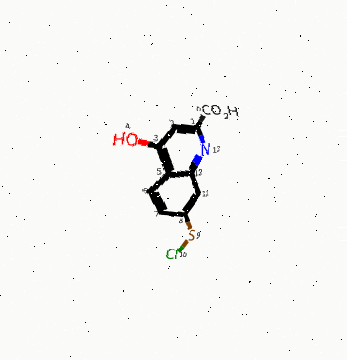 O=C(O)c1cc(O)c2ccc(SCl)cc2n1